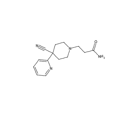 N#CC1(c2ccccn2)CCN(CCC(N)=O)CC1